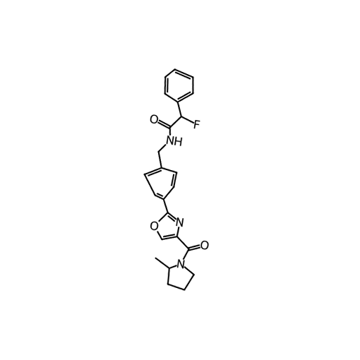 CC1CCCN1C(=O)c1coc(-c2ccc(CNC(=O)C(F)c3ccccc3)cc2)n1